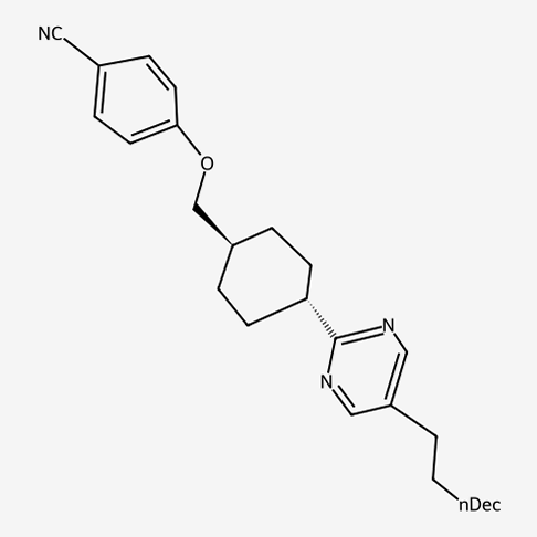 CCCCCCCCCCCCc1cnc([C@H]2CC[C@H](COc3ccc(C#N)cc3)CC2)nc1